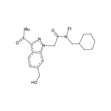 CCN(CC1CCCCC1)C(=O)Cn1nc(C(=O)C(C)(C)C)c2ccc(CO)cc21